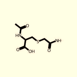 CC(=O)NC(CSCC([NH])=O)C(=O)O